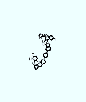 O=C1CCC(Nc2ccccc2CN2CCN(c3ccc(-c4ccc5c(c4)C(=O)N(C(C(=O)Nc4nccs4)c4cc(F)ccc4O)C5)cc3)CC2)C(=O)N1